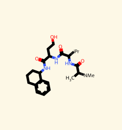 CNC(C)C(=O)NC(C(=O)NC(CCO)C(=O)NC1CCCc2ccccc21)C(C)C